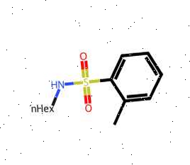 CCCCCCNS(=O)(=O)c1ccccc1C